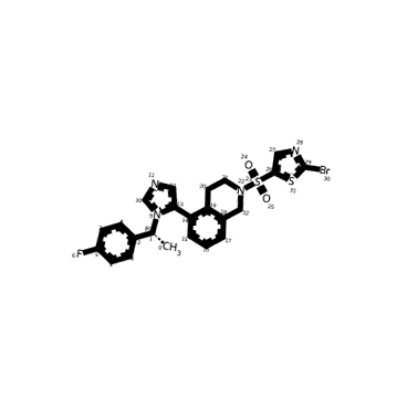 C[C@H](c1ccc(F)cc1)n1cncc1-c1cccc2c1CCN(S(=O)(=O)c1cnc(Br)s1)C2